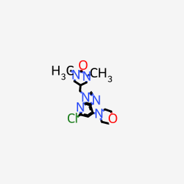 CN1CC(Cn2cnc3c(N4CCOCC4)cc(Cl)nc32)CN(C)C1=O